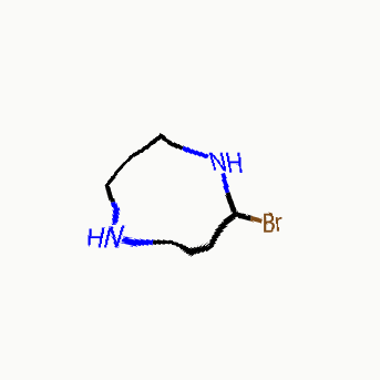 BrC1CNCCN1